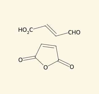 O=C1C=CC(=O)O1.O=CC=CC(=O)O